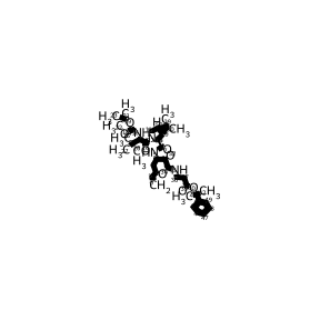 C=CCCC(NC(=O)[C@@H]1C2[C@@H](CN1C(=O)[C@@H](NC(=O)OC(C)(C)C)C(C)(C)C)C2(C)C)C(=O)C(=O)NCCC(=O)OC(C)(C)c1ccccc1